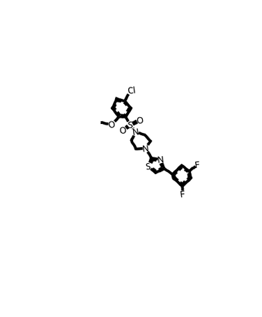 COc1ccc(Cl)cc1S(=O)(=O)N1CCN(c2nc(-c3cc(F)cc(F)c3)cs2)CC1